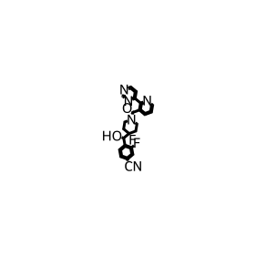 N#Cc1ccc(C(O)C2(F)CCN(C(=O)c3cccnc3-c3ccncn3)CC2)c(F)c1